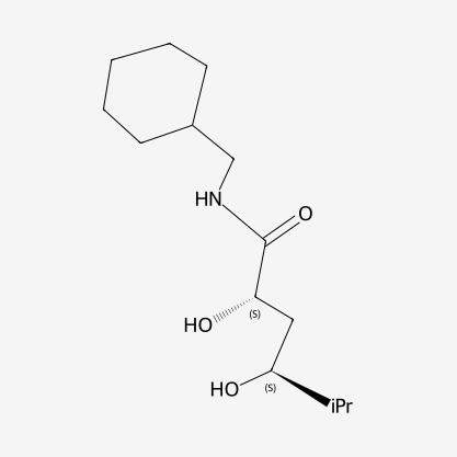 CC(C)[C@@H](O)C[C@H](O)C(=O)NCC1CCCCC1